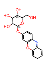 OCC1O[C@@H](Oc2ccc3c(c2)OC2=CCC=CC2=N3)C(O)C(O)[C@@H]1O